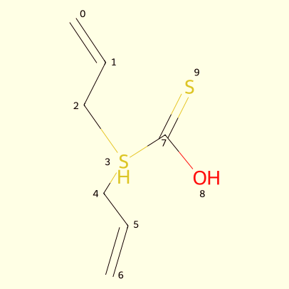 C=CC[SH](CC=C)C(O)=S